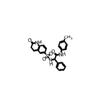 Cc1ccc(NC(=O)C(NS(=O)(=O)c2ccc3c(c2)CCC(=O)N3)c2ccccc2)cc1